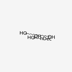 CCCCCCCCCCCCCC(O)CO.OCCCCCCCCCCCCCCCCO